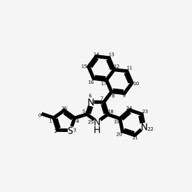 Cc1csc(-c2nc(-c3cccc4ccccc34)c(-c3ccncc3)[nH]2)c1